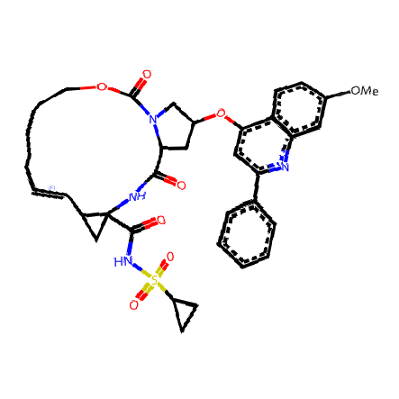 COc1ccc2c(OC3CC4C(=O)NC5(C(=O)NS(=O)(=O)C6CC6)CC5/C=C/CCCCOC(=O)N4C3)cc(-c3ccccc3)nc2c1